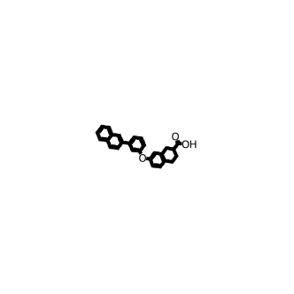 O=C(O)C1CCc2ccc(Oc3cccc(-c4ccc5ccccc5c4)c3)cc2C1